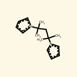 CC(C)(CC(C)(C)n1cccc1)n1cccc1